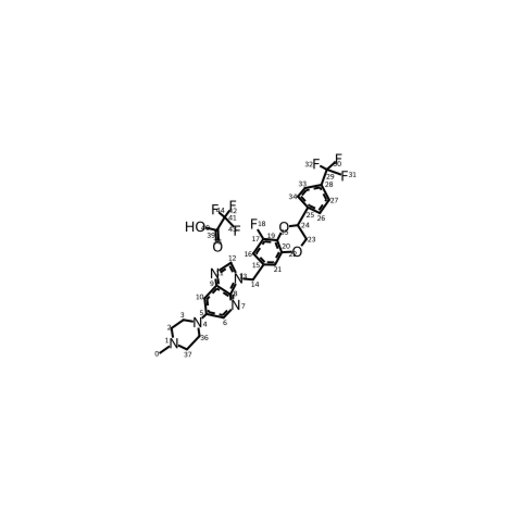 CN1CCN(c2cnc3c(c2)ncn3Cc2cc(F)c3c(c2)OCC(c2ccc(C(F)(F)F)cc2)O3)CC1.O=C(O)C(F)(F)F